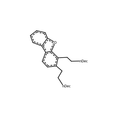 CCCCCCCCCCCCc1ccc2c(oc3ccccc32)c1CCCCCCCCCCCC